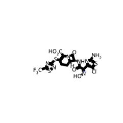 Nc1nc(/C(=N/O)C(=O)N[C@@H]2C(=O)N3C(C(=O)O)=C(Sc4nsc(C(F)(F)F)n4)CC[C@H]23)c(Cl)s1